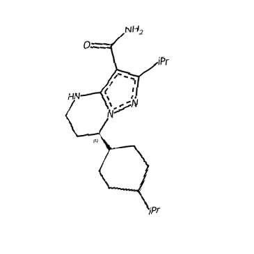 CC(C)c1nn2c(c1C(N)=O)NCC[C@@H]2C1CCC(C(C)C)CC1